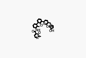 COc1nc(-c2cccc(-c3cccc(NC(=O)c4ccnn(C)c4=O)c3C)c2Cl)ccc1CN1CC[C@H](O)C1